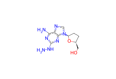 NNc1nc(N)c2ncn([C@H]3CC[C@@H](CO)O3)c2n1